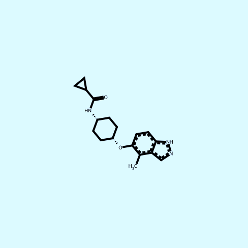 Cc1c(O[C@H]2CC[C@@H](NC(=O)C3CC3)CC2)ccc2[nH]ncc12